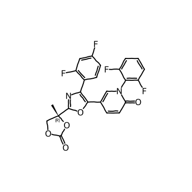 C[C@]1(c2nc(-c3ccc(F)cc3F)c(-c3ccc(=O)n(-c4c(F)cccc4F)c3)o2)COC(=O)O1